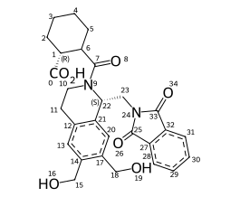 O=C(O)[C@@H]1CCCCC1C(=O)N1CCc2cc(CO)c(CO)cc2[C@H]1CN1C(=O)c2ccccc2C1=O